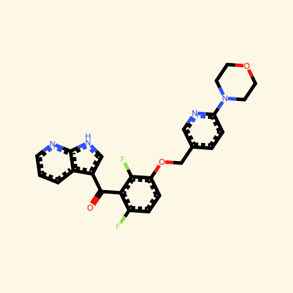 O=C(c1c(F)ccc(OCc2ccc(N3CCOCC3)nc2)c1F)c1c[nH]c2ncccc12